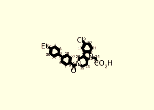 CCc1ccc(-c2ccc(C(=O)N3CCc4c(c5cc(Cl)ccc5n4CC(=O)O)C3)cc2)cc1